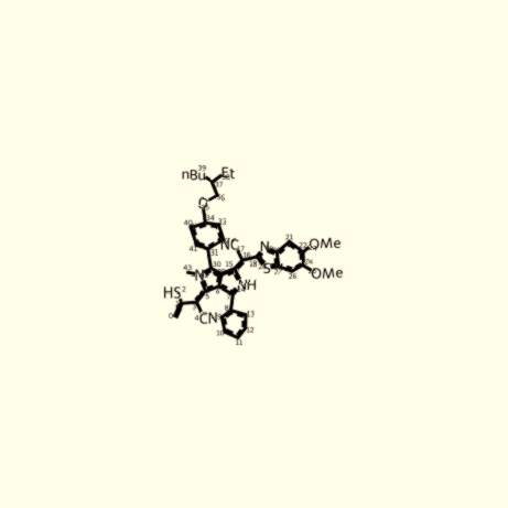 C=C(S)/C(C#N)=c1/c2c(-c3ccccc3)[nH]/c(=C(/C#N)c3nc4cc(OC)c(OC)cc4s3)c2c(-c2ccc(OCC(CC)CCCC)cc2)n1C